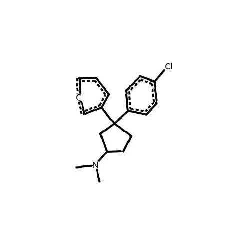 CN(C)C1CCC(c2ccccc2)(c2ccc(Cl)cc2)C1